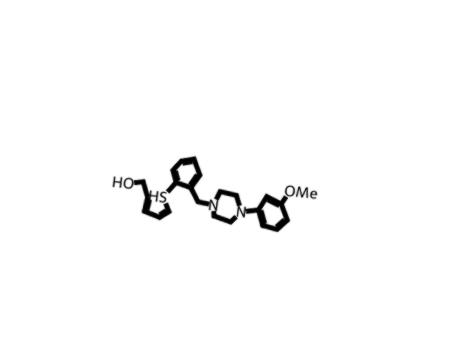 COc1cccc(N2CCN(Cc3ccccc3[SH]3C=CC=C3CO)CC2)c1